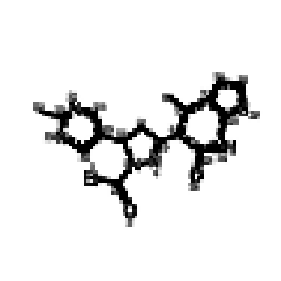 CCC(=O)N1N=C(c2c(C)c3ccsc3[nH]c2=O)CC1c1cnc(C)nc1